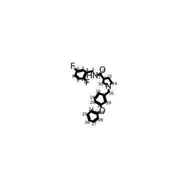 O=C(NCc1cc(F)ccc1F)C1CCN(Cc2cccc(Oc3ccccc3)c2)C1